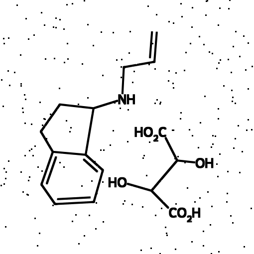 C=CCNC1CCc2ccccc21.O=C(O)C(O)C(O)C(=O)O